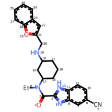 CCN(C(=O)c1nc2cc(C#N)ccc2[nH]1)C1CCCC(NCc2cc3ccccc3o2)C1